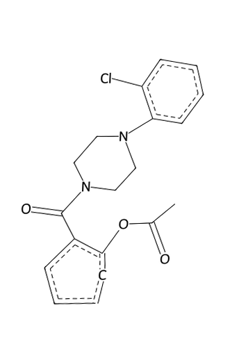 CC(=O)Oc1ccccc1C(=O)N1CCN(c2ccccc2Cl)CC1